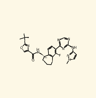 Cn1ccc(Nc2ncnc(-c3ccc4c(c3F)CCCC[C@H]4NC(=O)c3coc(C(C)(C)C)n3)n2)n1